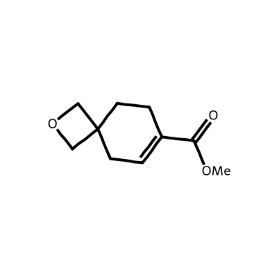 COC(=O)C1=CCC2(CC1)COC2